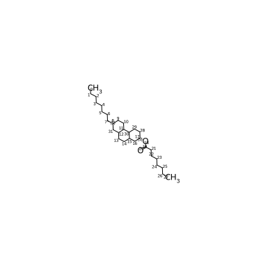 CCCCCCCC[C@H]1CCC2C(CCC3C[C@@H](OC(=O)CCCCCCC)CCC32)C1